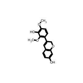 COc1ccc(C2=Cc3ccc(O)cc3OC2)c(OC)c1O